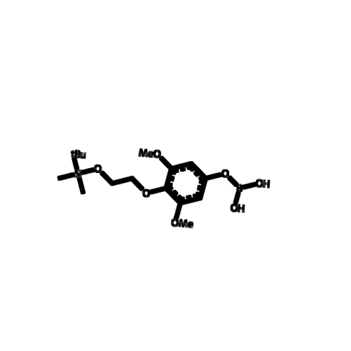 COc1cc(OB(O)O)cc(OC)c1OCCO[Si](C)(C)C(C)(C)C